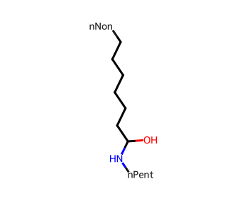 CCCCCCCCCCCCCCCC(O)NCCCCC